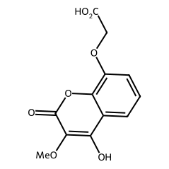 COc1c(O)c2cccc(OCC(=O)O)c2oc1=O